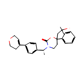 C[C@@H](c1ccc(C2=CCOCC2)cc1)N1CCC(CC(C)(C)O)(c2ccccc2)OC1=O